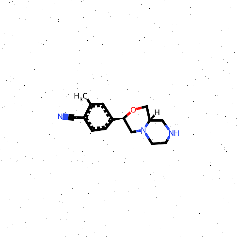 Cc1cc([C@@H]2CN3CCNC[C@H]3CO2)ccc1C#N